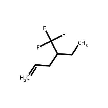 C=CCC(CC)C(F)(F)F